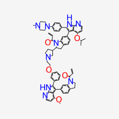 C=CC(=O)N1CCc2ccc(-c3c(-c4cccc(OCCN5CCC(C6Cc7ccc(-c8c(-c9ccc(N%10CCN(C)CC%10)cc9)[nH]c9nccc(OC(C)C)c89)cc7N6C(=O)C=C)C5)c4)[nH]c4nccc(OC)c34)cc21